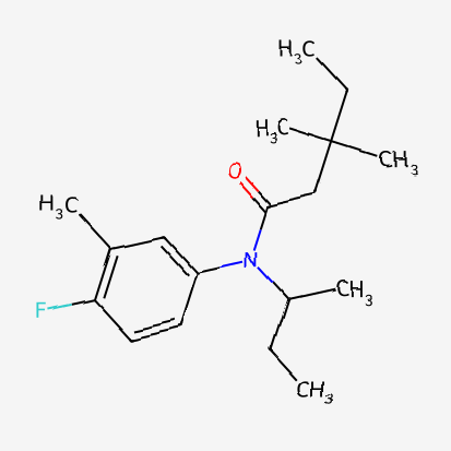 CCC(C)N(C(=O)CC(C)(C)CC)c1ccc(F)c(C)c1